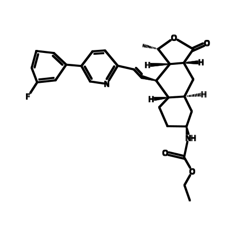 CCOC(=O)N[C@H]1CC[C@H]2[C@H](C1)C[C@H]1C(=O)O[C@@H](C)[C@H]1[C@@H]2/C=C/c1ccc(-c2cccc(F)c2)cn1